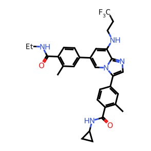 CCNC(=O)c1ccc(-c2cc(NCCC(F)(F)F)c3ncc(-c4ccc(C(=O)NC5CC5)c(C)c4)n3c2)cc1C